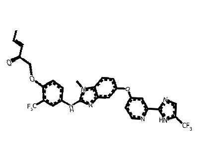 C/C=C/C(=O)COc1ccc(Nc2nc3cc(Oc4ccnc(-c5ncc(C(F)(F)F)[nH]5)c4)ccc3n2C)cc1C(F)(F)F